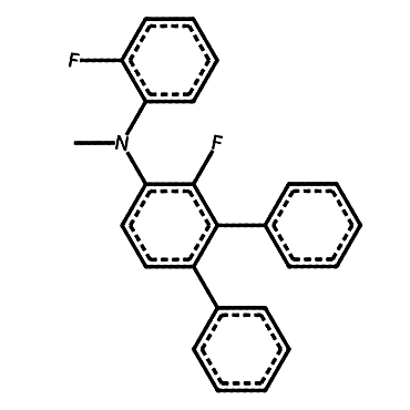 CN(c1ccccc1F)c1ccc(-c2ccccc2)c(-c2ccccc2)c1F